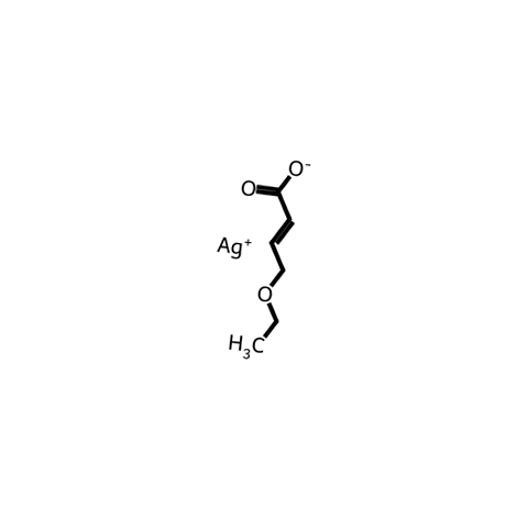 CCOC/C=C/C(=O)[O-].[Ag+]